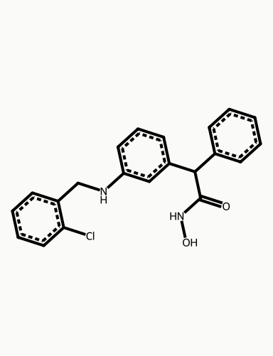 O=C(NO)C(c1ccccc1)c1cccc(NCc2ccccc2Cl)c1